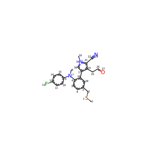 CSCc1ccc(N(C)c2ccc(F)cc2)c(-c2cn(C)c(C#N)c2CC=O)c1